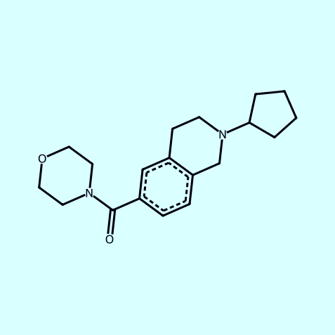 O=C(c1ccc2c(c1)CCN(C1CCCC1)C2)N1CCOCC1